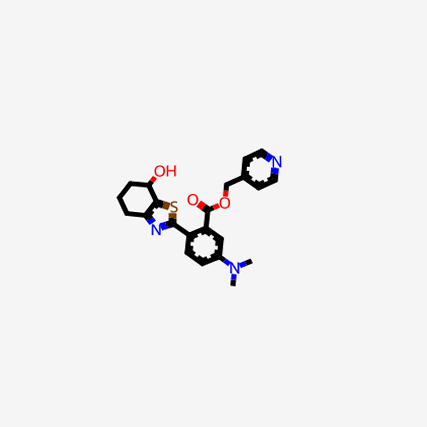 CN(C)c1ccc(-c2nc3c(s2)C(O)CCC3)c(C(=O)OCc2ccncc2)c1